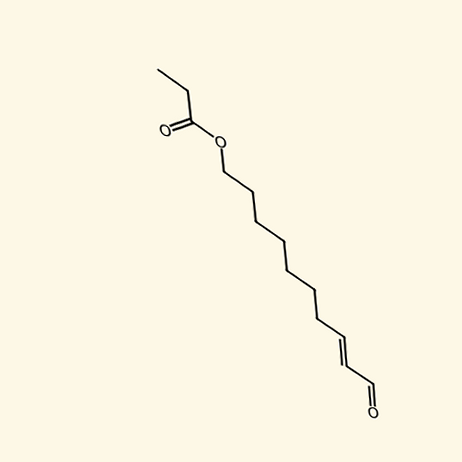 CCC(=O)OCCCCCCC/C=C/C=O